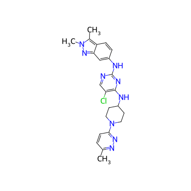 Cc1ccc(N2CCC(Nc3nc(Nc4ccc5c(C)n(C)nc5c4)ncc3Cl)CC2)nn1